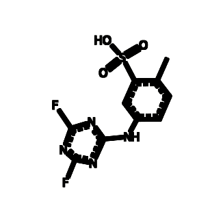 Cc1ccc(Nc2nc(F)nc(F)n2)cc1S(=O)(=O)O